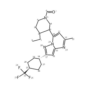 CCC1CCN(C=O)CC1c1cc(C)nc2cc([C@H]3CC[C@H](C(F)(F)F)CC3)nn12